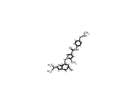 CNCc1ccc(NC(=O)c2cc(C)n(Cc3cc(Br)cc4cc(C(C)C)oc34)n2)cc1